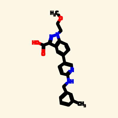 COCCn1nc(C(=O)O)c2cc(-c3ccc(NCc4cccc(C)c4)nc3)ccc21